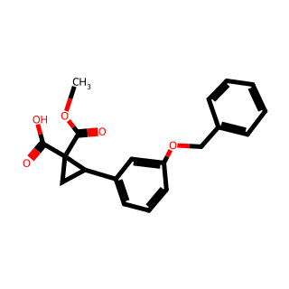 COC(=O)C1(C(=O)O)CC1c1cccc(OCc2ccccc2)c1